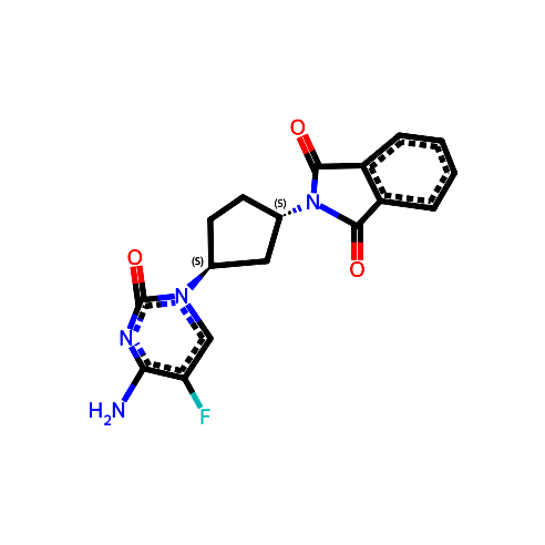 Nc1nc(=O)n([C@H]2CC[C@H](N3C(=O)c4ccccc4C3=O)C2)cc1F